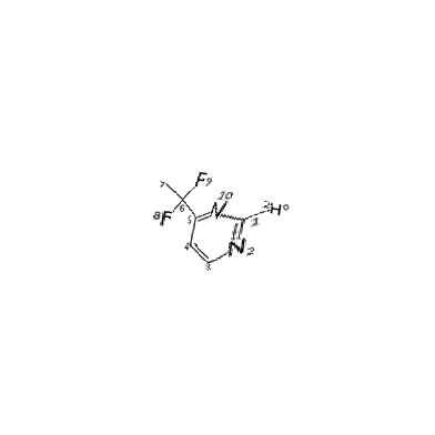 [2H]c1nccc(C(C)(F)F)n1